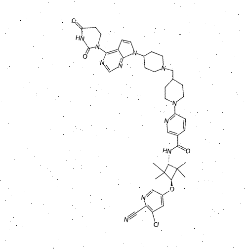 CC1(C)[C@H](NC(=O)c2ccc(N3CCC(CN4CCC(n5ccc6c(N7CCC(=O)NC7=O)ncnc65)CC4)CC3)nc2)C(C)(C)[C@H]1Oc1cnc(C#N)c(Cl)c1